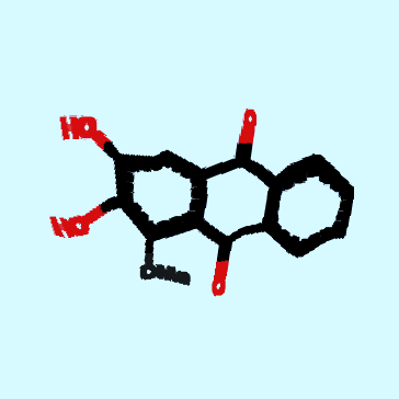 COc1c(O)c(O)cc2c1C(=O)c1ccccc1C2=O